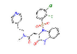 CN(CCc1ccncc1)C(=O)C[C@@H]1C(=O)Nc2ccccc2N1S(=O)(=O)c1cccc(Cl)c1Cl